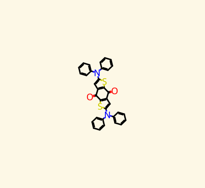 O=C1c2cc(N(c3ccccc3)c3ccccc3)sc2C(=O)c2cc(N(c3ccccc3)c3ccccc3)sc21